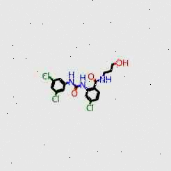 O=C(Nc1cc(Cl)cc(Cl)c1)Nc1cc(Cl)ccc1C(=O)NCCCO